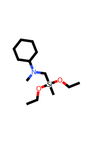 CCO[Si](C)(CN(C)C1CCCCC1)OCC